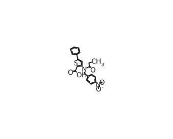 CCC(=O)N(Cc1ccc([N+](=O)[O-])cc1)c1cc(-c2ccccc2)sc1C(=O)O